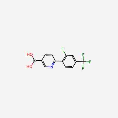 OB(O)c1ccc(-c2ccc(C(F)(F)F)cc2F)nc1